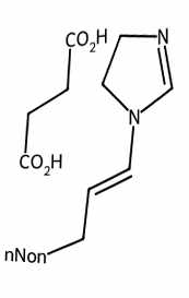 CCCCCCCCCCC=CN1C=NCC1.O=C(O)CCC(=O)O